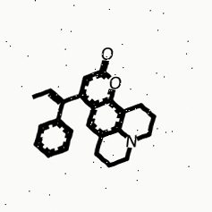 CC=C(c1ccccc1)c1cc(=O)oc2c3c4c(cc12)CCCN4CCC3